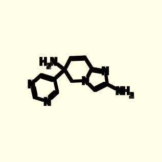 Nc1cn2c(n1)C=CC(N)(c1cncnc1)C2